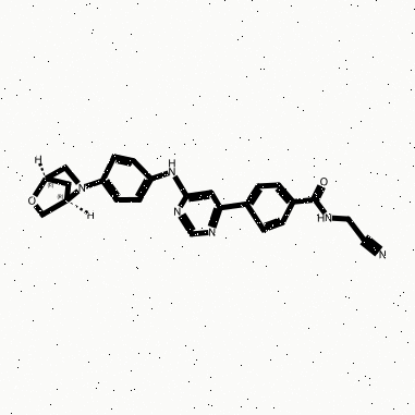 N#CCNC(=O)c1ccc(-c2cc(Nc3ccc(N4C[C@H]5C[C@@H]4CO5)cc3)ncn2)cc1